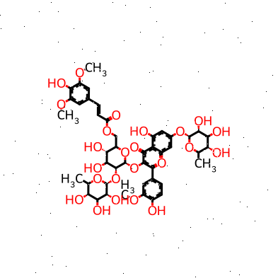 COc1cc(-c2oc3cc(O[C@@H]4OC(C)[C@H](O)C(O)[C@@H]4O)cc(O)c3c(=O)c2O[C@@H]2OC(COC(=O)/C=C/c3cc(OC)c(O)c(OC)c3)[C@@H](O)C(O)[C@@H]2O[C@@H]2OC(C)[C@H](O)C(O)[C@@H]2O)ccc1O